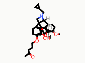 CO[C@]12CC[C@@]3(C[C@@H]1[C@](C)(O)C(C)(C)C)[C@@H]1N(CC4CC4)CC14C[C@@]31c3c4ccc(OCCCC(C)=O)c3O[C@@H]21